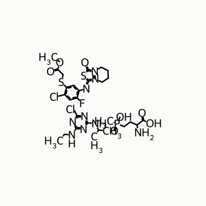 CCNc1nc(Cl)nc(NC(C)C)n1.COC(=O)CSc1cc(/N=c2\sc(=O)n3n2CCCC3)c(F)cc1Cl.CP(=O)(O)CCC(N)C(=O)O